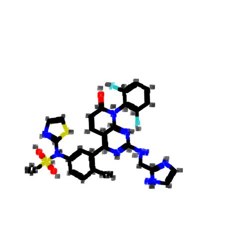 Cc1ccc(N(c2nccs2)S(C)(=O)=O)cc1-c1nc(NCc2ncc[nH]2)nc2c1ccc(=O)n2-c1c(F)cccc1F